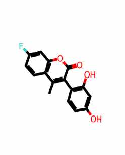 Cc1c(-c2ccc(O)cc2O)c(=O)oc2cc(F)ccc12